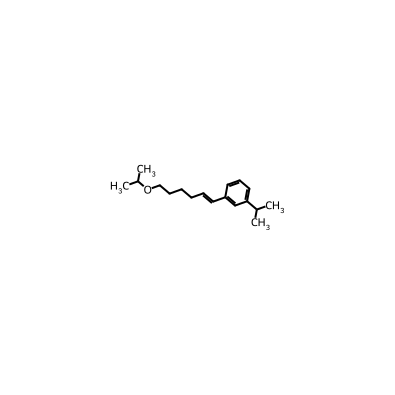 CC(C)OCCCC/C=C/c1cccc(C(C)C)c1